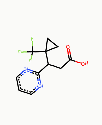 O=C(O)CC(c1ncccn1)C1(C(F)(F)F)CC1